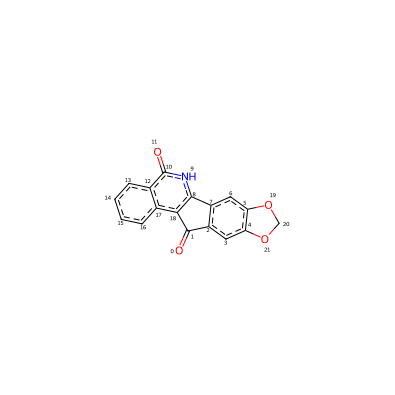 O=C1c2cc3c(cc2-c2[nH]c(=O)c4ccccc4c21)OCO3